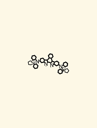 Cn1c2cc(N3c4ccccc4[Si]4(CCCC4)c4ccccc43)ccc2c2c3ccccc3c3c4ccc(N5c6ccccc6[Si]6(CCCC6)c6ccccc65)cc4n(C)c3c21